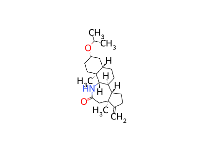 C=C1CC[C@H]2[C@@H]3CC[C@H]4C[C@@H](OC(C)C)CC[C@]4(C)[C@H]3NC(=O)C[C@]12C